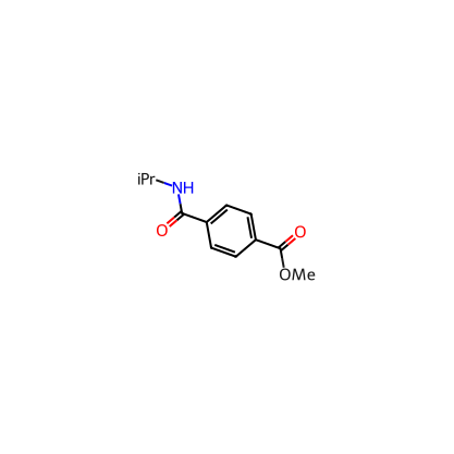 COC(=O)c1ccc(C(=O)NC(C)C)cc1